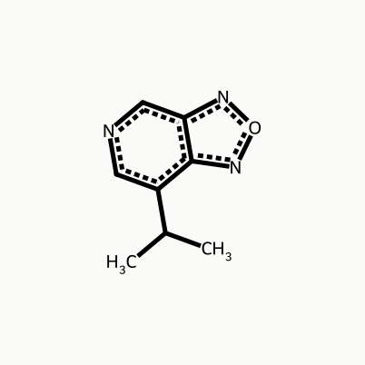 CC(C)c1cncc2nonc12